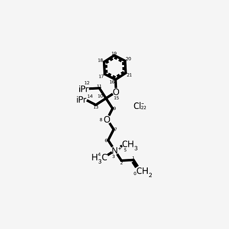 C=CC[N+](C)(C)CCOCC(CC(C)C)(CC(C)C)Oc1ccccc1.[Cl-]